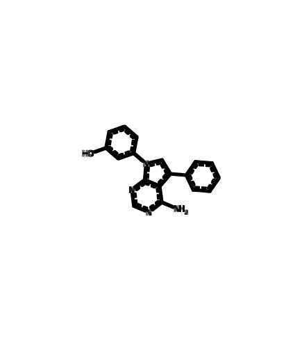 Nc1ncnc2c1c(-c1ccccc1)cn2-c1cccc(O)c1